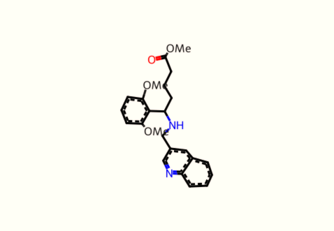 COC(=O)CCCC(NCc1cnc2ccccc2c1)c1c(OC)cccc1OC